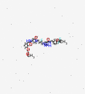 COCCOc1cccc(CC(=O)Nc2ccn(CCC(F)Cn3cc(C(=O)NCc4cccc(OC(C)(F)F)c4)nn3)c(=O)c2)c1